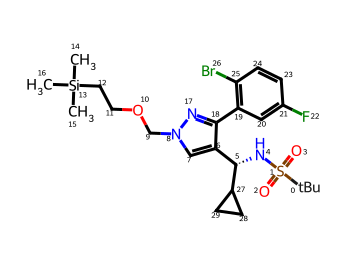 CC(C)(C)S(=O)(=O)N[C@@H](c1cn(COCC[Si](C)(C)C)nc1-c1cc(F)ccc1Br)C1CC1